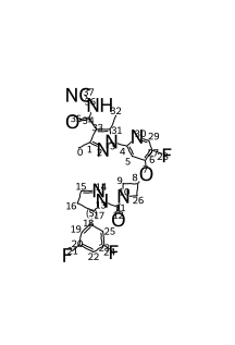 Cc1nn(-c2cc(OC3CN(C(=O)N4N=CC[C@H]4c4cc(F)cc(F)c4)C3)c(F)cn2)c(C)c1C(=O)NC#N